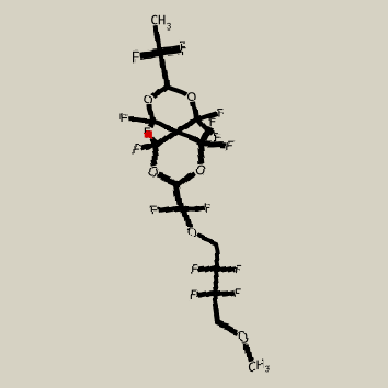 COCC(F)(F)C(F)(F)COC(F)(F)C1OC(F)(F)C2(C(F)(F)OC(C(C)(F)F)OC2(F)F)C(F)(F)O1